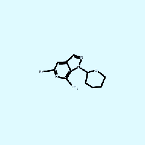 Cc1nc(Br)cc2cnn(C3CCCCO3)c12